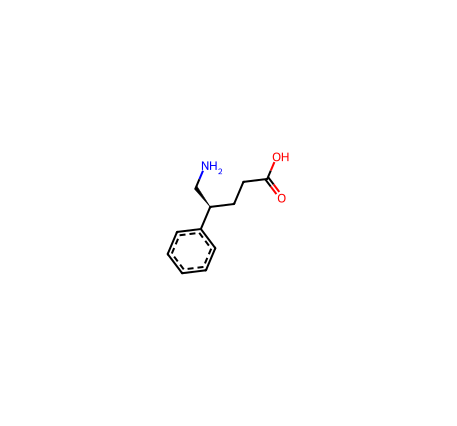 NC[C@@H](CCC(=O)O)c1ccccc1